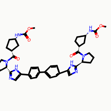 COC(=O)N[C@H]1CC[C@@H](C(=O)N2CCC[C@H]2c2ncc(-c3ccc(-c4ccc(-c5cnc([C@@H]6CCCN6C(=O)[C@@H]6CC[C@H](NC(=O)OC)C6)[nH]5)cc4)cc3)[nH]2)C1